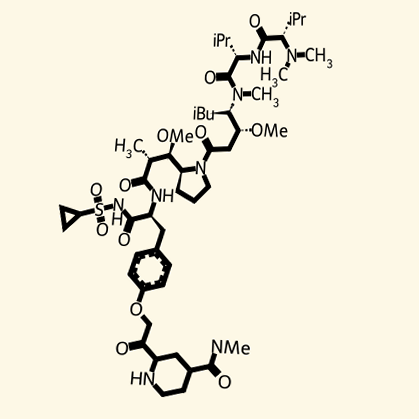 CC[C@H](C)[C@@H]([C@@H](CC(=O)N1CCC[C@H]1[C@H](OC)[C@@H](C)C(=O)N[C@@H](Cc1ccc(OCC(=O)C2CC(C(=O)NC)CCN2)cc1)C(=O)NS(=O)(=O)C1CC1)OC)N(C)C(=O)[C@@H](NC(=O)[C@H](C(C)C)N(C)C)C(C)C